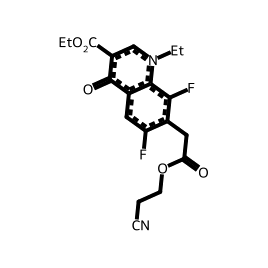 CCOC(=O)c1cn(CC)c2c(F)c(CC(=O)OCCC#N)c(F)cc2c1=O